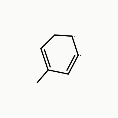 CC1=CC[CH][C]=C1